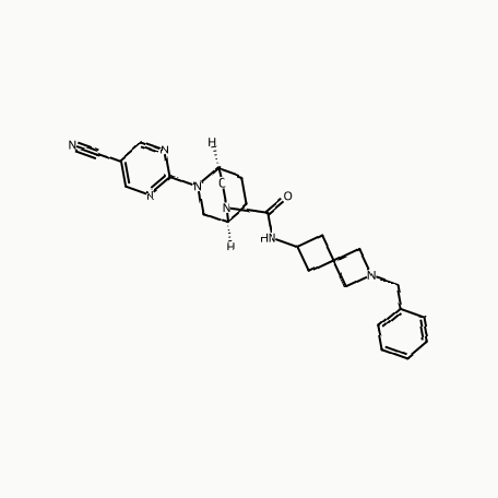 N#Cc1cnc(N2C[C@@H]3CC[C@H]2CN3C(=O)NC2CC3(C2)CN(Cc2ccccc2)C3)nc1